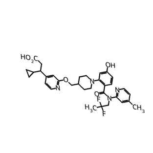 Cc1ccnc(N(CC(C)(F)F)C(=O)c2ccc(O)cc2N2CCC(COc3cc(C(CC(=O)O)C4CC4)ccn3)CC2)c1